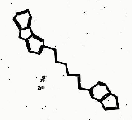 C(=Cc1ccc2c(c1)C=CC2)CCCCc1ccc2c(c1)-c1ccccc1C2.[Cl-].[Cl-].[Zr+2]